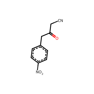 N#CCC(=O)Cc1ccc([N+](=O)[O-])cc1